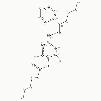 CCCCCC(=O)Oc1c(C)nc(NCC(CCCC)c2ccccc2)nc1C